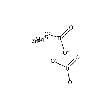 [Mg+2].[O]=[Ti]([O-])[O-].[O]=[Ti]([O-])[O-].[Zn+2]